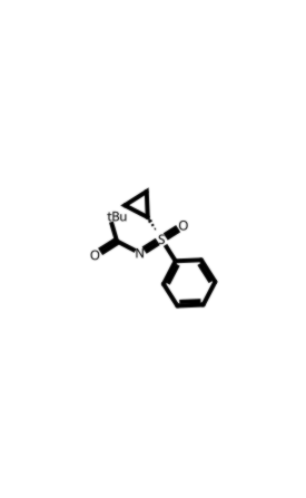 CC(C)(C)C(=O)N=[S@@](=O)(c1ccccc1)C1CC1